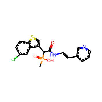 CP(=O)(O)C(C(=O)N/C=C/c1cccnc1)c1csc2ccc(Cl)cc12